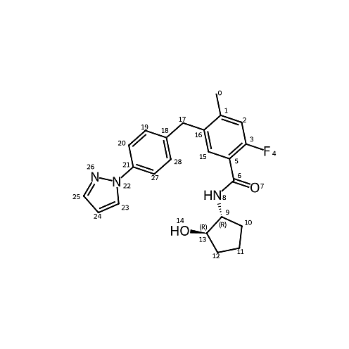 Cc1cc(F)c(C(=O)N[C@@H]2CCC[C@H]2O)cc1Cc1ccc(-n2cccn2)cc1